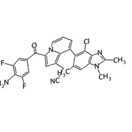 Cc1cc2c(nc(C)n2C)c(Cl)c1-c1cccn2c(C(=O)c3cc(F)c(N)c(F)c3)cc(CC#N)c12